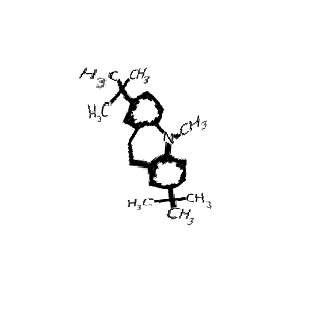 CN1c2ccc(C(C)(C)C)cc2CCc2cc(C(C)(C)C)ccc21